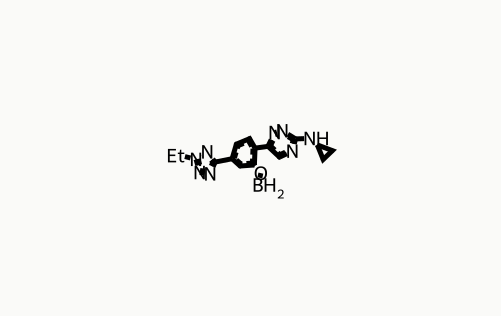 BOc1cc(-c2nnn(CC)n2)ccc1-c1cnc(NC2CC2)nn1